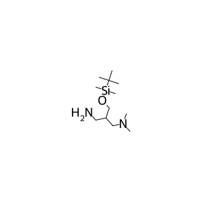 CN(C)CC(CN)CO[Si](C)(C)C(C)(C)C